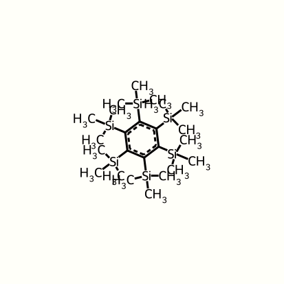 C[Si](C)(C)c1c([Si](C)(C)C)c([Si](C)(C)C)c([Si](C)(C)C)c([Si](C)(C)C)c1[Si](C)(C)C